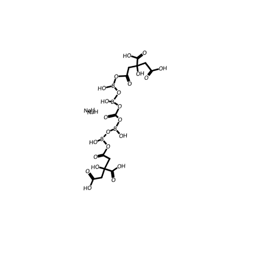 O=C(O)CC(O)(CC(=O)OB(O)OB(O)OC(=O)OB(O)OB(O)OC(=O)CC(O)(CC(=O)O)C(=O)O)C(=O)O.[NaH].[NaH]